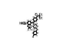 CCN(CC)C(=O)c1ccc(C(c2cccc3c2OC(C)(C)C3)N2CCN(Cc3ccc(I)cc3)CC2)cc1.Cl.Cl